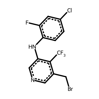 Fc1cc(Cl)ccc1Nc1cncc(CBr)c1C(F)(F)F